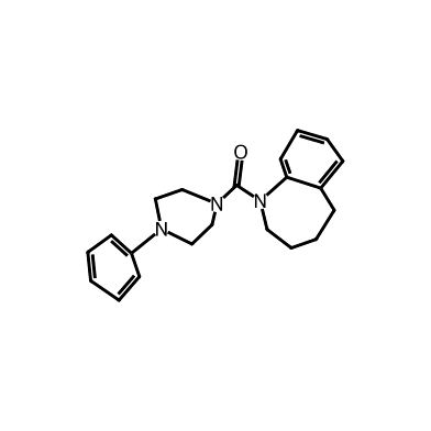 O=C(N1CCN(c2ccccc2)CC1)N1CCCCc2ccccc21